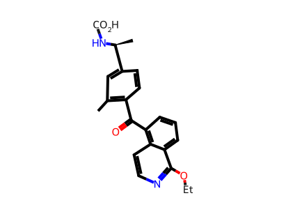 CCOc1nccc2c(C(=O)c3ccc([C@H](C)NC(=O)O)cc3C)cccc12